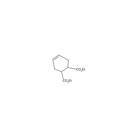 CCOC(=O)C1CC=CCC1C(=O)OCC